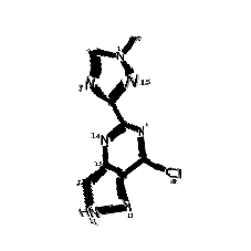 Cn1cnc(-c2nc(Cl)c3n[nH]cc3n2)n1